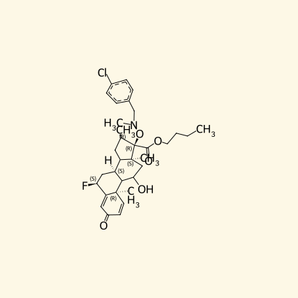 CCCCOC(=O)[C@@]1(ON(C)Cc2ccc(Cl)cc2)[C@H](C)CC2[C@@H]3C[C@H](F)C4=CC(=O)C=C[C@]4(C)C3C(O)C[C@@]21C